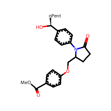 CCCCC[C@H](O)c1ccc(N2C(=O)CCC2COc2ccc(C(=O)OC)cc2)cc1